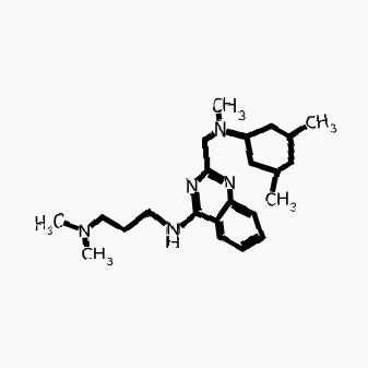 CC1CC(C)CC(N(C)Cc2nc(NCCCN(C)C)c3ccccc3n2)C1